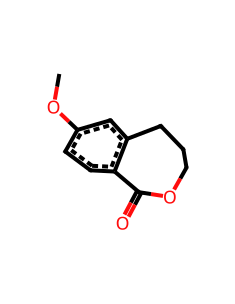 COc1ccc2c(c1)CCCOC2=O